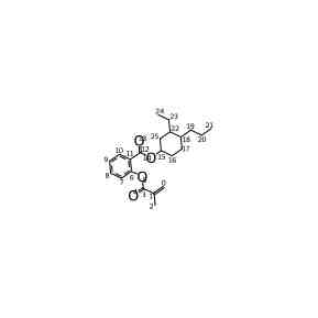 C=C(C)C(=O)Oc1ccccc1C(=O)OC1CCC(CCC)C(CC)C1